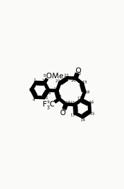 COc1ccccc1C1=C(\C(F)(F)F)C(=O)c2ccccc2/C=C\C(=O)/C=C\1